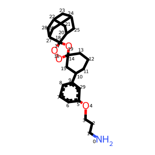 NCCCOc1cccc(C2CCCC3(C2)OOC2(O3)C3CC4CC(C3)CC2C4)c1